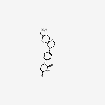 O=C(O)CN1CCC2(CC1)CN(c1ccc([C@H]3CCC(=O)NC3=O)cc1)CCO2